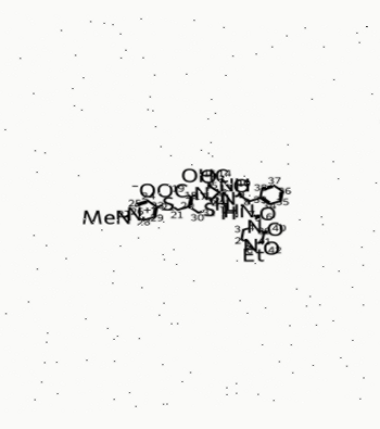 CCN1CCN(C(=O)N[C@@H](C(=O)N[C@]2(NC=O)C(=O)N3C(C(=O)[O-])=C(CSc4cc[n+](NC)cc4)CS[C@@H]32)c2ccccc2)C(=O)C1=O